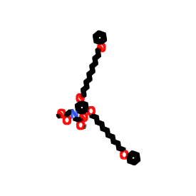 COC(=O)CN(CC(=O)OC)c1cc(OCCCCCCCCCCCCOc2ccccc2)cc(OCCCCCCCCCCCCOc2ccccc2)c1